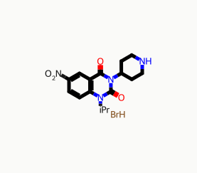 Br.CC(C)n1c(=O)n(C2CCNCC2)c(=O)c2cc([N+](=O)[O-])ccc21